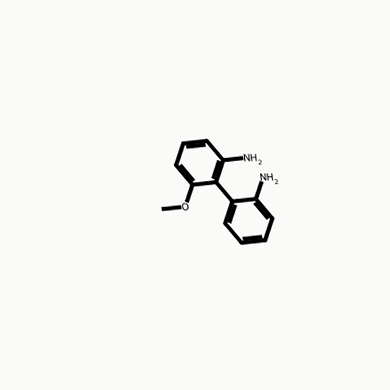 COc1cccc(N)c1-c1ccccc1N